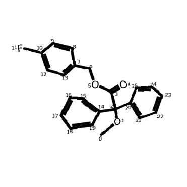 COC(C(=O)OCc1ccc(F)cc1)(c1ccccc1)c1ccccc1